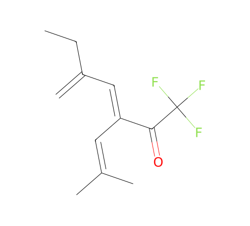 C=C(/C=C(\C=C(C)C)C(=O)C(F)(F)F)CC